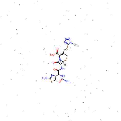 Cn1nnnc1SCC1=C(C(=O)O)N2C(=O)C(NC(=O)C(NC(N)=O)c3csc(N)n3)[C@H]2SC1